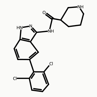 O=C(Nc1n[nH]c2ccc(-c3c(Cl)cccc3Cl)cc12)C1CCCNC1